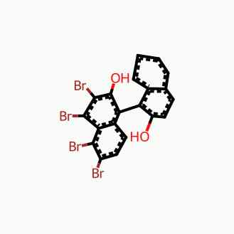 Oc1ccc2ccccc2c1-c1c(O)c(Br)c(Br)c2c(Br)c(Br)ccc12